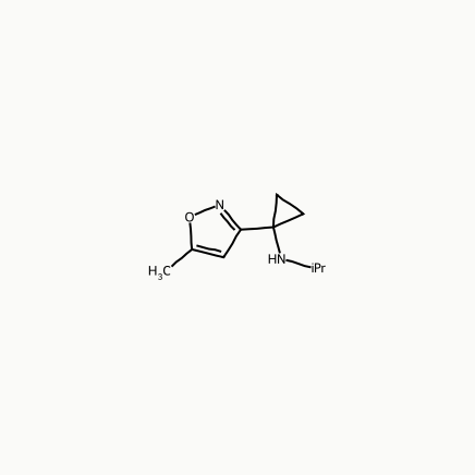 Cc1cc(C2(NC(C)C)CC2)no1